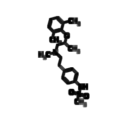 Cc1cccc(C)c1OC(C)CN(C)CCc1ccc(NS(C)(=O)=O)cc1